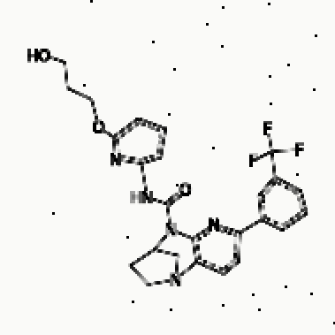 O=C(Nc1cccc(OCCCO)n1)N1c2nc(-c3cccc(C(F)(F)F)c3)ccc2N2CCC1C2